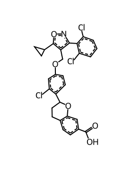 O=C(O)c1ccc2c(c1)OC(c1ccc(OCc3c(-c4c(Cl)cccc4Cl)noc3C3CC3)cc1Cl)CC2